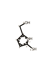 OCc1ccc(S)[nH]1